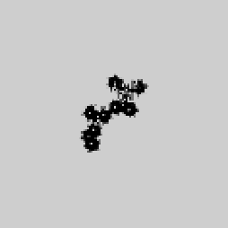 c1ccc(-c2nc(-c3ccccn3)nc(-n3c4ccccc4c4cc(-c5ccc6c(c5)c5ccccc5n6-c5ccc6c(ccc7ccccc76)c5)ccc43)n2)nc1